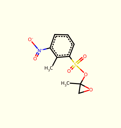 Cc1c([N+](=O)[O-])cccc1S(=O)(=O)OC1(C)CO1